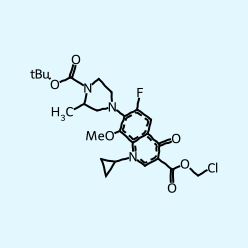 COc1c(N2CCN(C(=O)OC(C)(C)C)C(C)C2)c(F)cc2c(=O)c(C(=O)OCCl)cn(C3CC3)c12